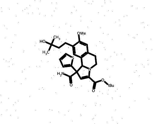 COc1cc2c(cc1CCC(C)(C)O)C1N(CC2)C(C(=O)OC(C)(C)C)=CC1(C(N)=O)c1cccs1